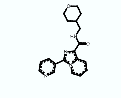 O=C(NCC1CCOCC1)c1nc(-c2cccnc2)n2ccccc12